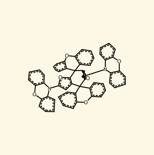 c1ccc2c(c1)Oc1ccccc1N2c1cc2c(o1)C1(c3ccccc3Oc3ccccc31)c1cc(N3c4ccccc4Oc4ccccc43)oc1C21c2ccccc2Oc2ccccc21